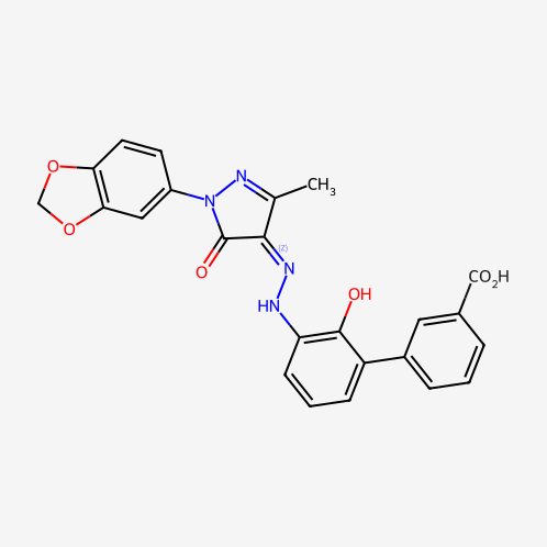 CC1=NN(c2ccc3c(c2)OCO3)C(=O)/C1=N\Nc1cccc(-c2cccc(C(=O)O)c2)c1O